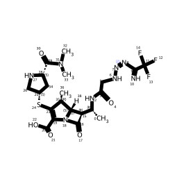 C[C@@H](NC(=O)CN/N=N\C(=N)C(F)(F)F)[C@H]1C(=O)N2C(C(=O)O)=C(S[C@@H]3CN[C@H](C(=O)N(C)C)C3)[C@H](C)[C@H]12